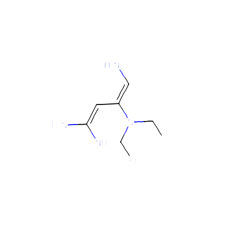 CCN(CC)/C(C=C(N)N)=C/N